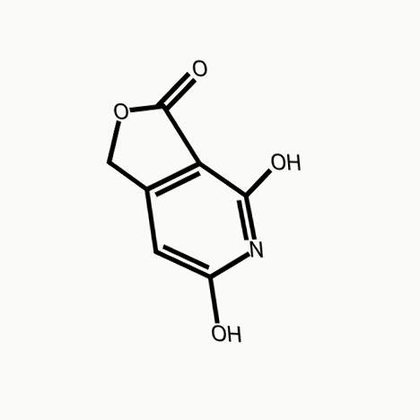 O=C1OCc2cc(O)nc(O)c21